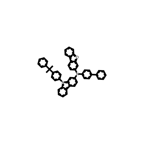 CC(C)(c1ccccc1)c1ccc(-n2c3ccccc3c3ccc(N(c4ccc(-c5ccccc5)cc4)c4ccc5c(c4)oc4ccccc45)cc32)cc1